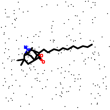 CCCCCCCCCCCC1C(=O)C23CC(C)(C)C([N+](=[N-])C1C2=O)C(C)(C)C3